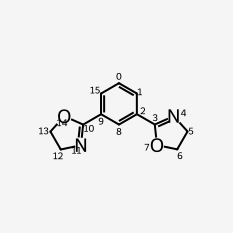 c1cc(C2=NCCO2)cc(C2=NCCO2)c1